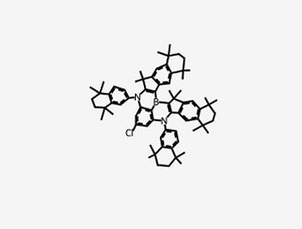 CC1(C)CCC(C)(C)c2cc(N3C4=C(B5C6=C(N(c7ccc8c(c7)C(C)(C)CCC8(C)C)c7cc(Cl)cc3c75)C(C)(C)c3cc5c(cc36)C(C)(C)CCC5(C)C)C(C)(C)c3cc5c(cc34)C(C)(C)CCC5(C)C)ccc21